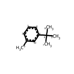 Cc1cc[c]c(C(C)(C)C)c1